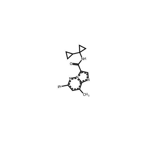 Cc1cc(C(C)C)nn2c(C(=O)NC3(C4CC4)CC3)cnc12